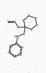 C=CCC1(CNc2ccccc2)CCCCC1